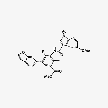 COC(=O)c1cc(-c2ccc3ccoc3c2)c(F)c(NC(=O)c2cn(C(C)=O)c3ccc(OC)cc23)c1C